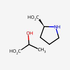 CC(O)C(=O)O.O=C(O)[C@@H]1CCCN1